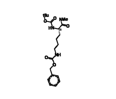 CNC(=O)[C@H](CCCCNC(=O)OCc1ccccc1)NC(=O)OC(C)(C)C